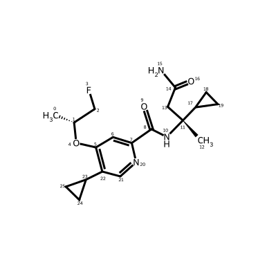 C[C@H](CF)Oc1cc(C(=O)N[C@](C)(CC(N)=O)C2CC2)ncc1C1CC1